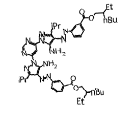 CCCCC(CC)COC(=O)c1cccc(/N=N/c2c(C(C)C)nn(-c3cc(-n4nc(C(C)C)c(/N=N/c5cccc(C(=O)OCC(CC)CCCC)c5)c4N)ncn3)c2N)c1